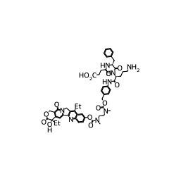 CCc1c2c(nc3ccc(OC(=O)N(C)CCN(C)C(=O)OCc4ccc(NC(=O)[C@H](CCCN)NC(=O)[C@H](Cc5ccccc5)NC(=O)CCC(=O)O)cc4)cc13)-c1cc3c(c(=O)n1C2)COC(=O)[C@]3(O)CC